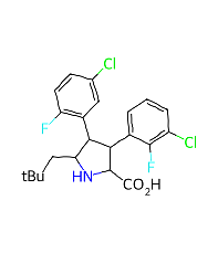 CC(C)(C)CC1NC(C(=O)O)C(c2cccc(Cl)c2F)C1c1cc(Cl)ccc1F